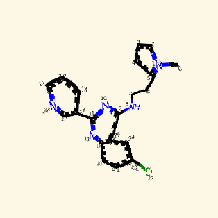 Cn1cccc1CCNc1nc(-c2cccnc2)nc2ccc(Cl)cc12